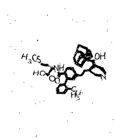 CSCC[C@H](NC(=O)c1ccc(CCc2cnccc2C(O)C23CC4CC(CC(C4)C2)C3)cc1-c1ccccc1C)C(=O)O.[Li]